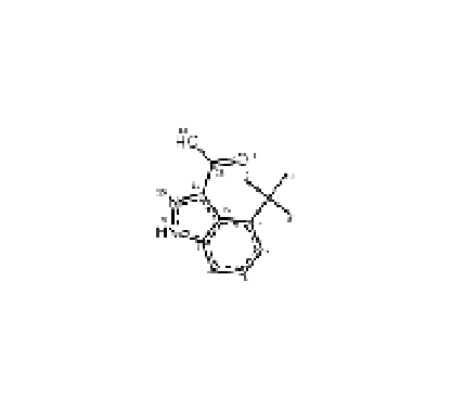 CC(C)(C)c1cccc2[nH]nc(C(=O)O)c12